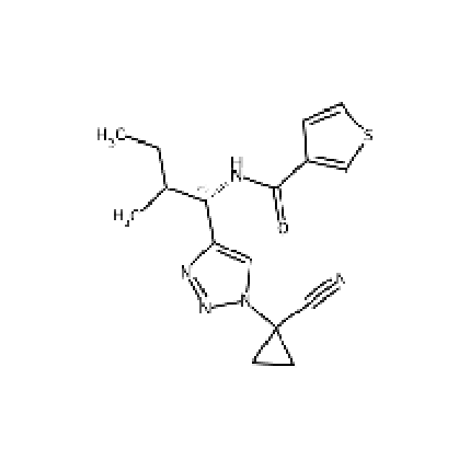 CCC(C)[C@H](NC(=O)c1ccsc1)c1cn(C2(C#N)CC2)nn1